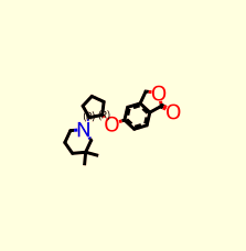 CC1(C)CCCN([C@@H]2CCC[C@H]2Oc2ccc3c(c2)COC3=O)C1